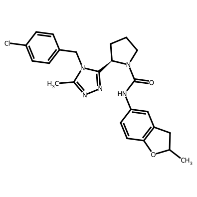 Cc1nnc([C@H]2CCCN2C(=O)Nc2ccc3c(c2)CC(C)O3)n1Cc1ccc(Cl)cc1